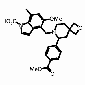 COC(=O)c1ccc(C2CC3(CCN2Cc2c(OC)cc(C)c4c2ccn4C(=O)O)COC3)cc1